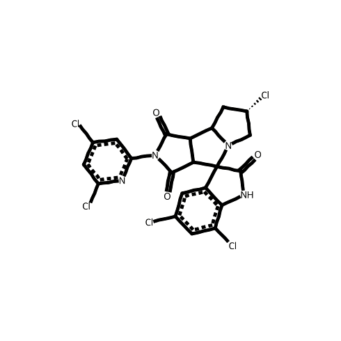 O=C1C2C3C[C@H](Cl)CN3C3(C(=O)Nc4c(Cl)cc(Cl)cc43)C2C(=O)N1c1cc(Cl)cc(Cl)n1